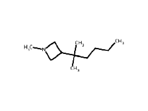 CCCCC(C)(C)C1CN(C)C1